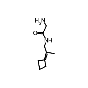 CC(CNC(=O)CN)=C1CCC1